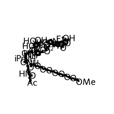 C=C1OCc2c(cc3n(c2=O)Cc2cc4c(CN(C(=O)OCc5ccc(NC(=O)[C@H](C)NC(=O)[C@@H](NC(=O)[C@H](CCCCNC(=O)CCC(C)=O)NC(=O)CCOCCOCCOCCOCCOCCOCCOCCOC)C(C)C)c(O[C@@H]6O[C@H](C(=O)O)[C@@H](O)[C@H](O)[C@H]6O)c5)C(C)C)c(O)ccc4nc2-3)[C@@]1(O)CC